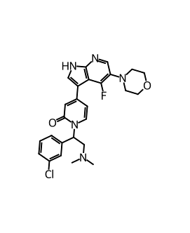 CN(C)CC(c1cccc(Cl)c1)n1ccc(-c2c[nH]c3ncc(N4CCOCC4)c(F)c23)cc1=O